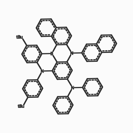 CC(C)(C)c1ccc(N2c3ccc(C(C)(C)C)cc3B3c4c2cc(N(c2ccccc2)c2ccccc2)cc4N(c2ccc4ccccc4c2)c2ccc4ccccc4c23)cc1